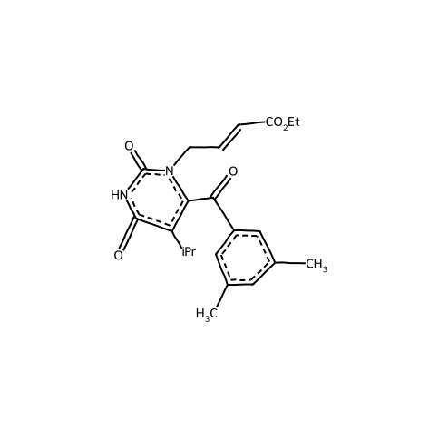 CCOC(=O)/C=C/Cn1c(C(=O)c2cc(C)cc(C)c2)c(C(C)C)c(=O)[nH]c1=O